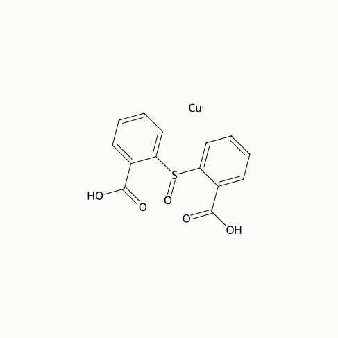 O=C(O)c1ccccc1S(=O)c1ccccc1C(=O)O.[Cu]